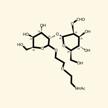 CC(=O)NCCOCCOC1O[C@@H](CO)[C@@H](O)[C@H](O)[C@@H]1O[C@H]1O[C@H](CO)[C@@H](O)[C@H](O)[C@@H]1OC=O